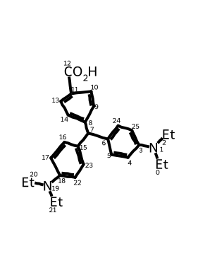 CCN(CC)c1ccc(C(c2ccc(C(=O)O)cc2)c2ccc(N(CC)CC)cc2)cc1